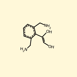 NCc1cccc(CN)c1C(O)=CO